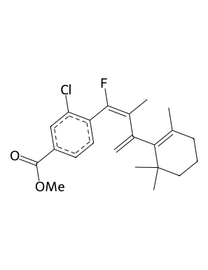 C=C(C(C)=C(F)c1ccc(C(=O)OC)cc1Cl)C1=C(C)CCCC1(C)C